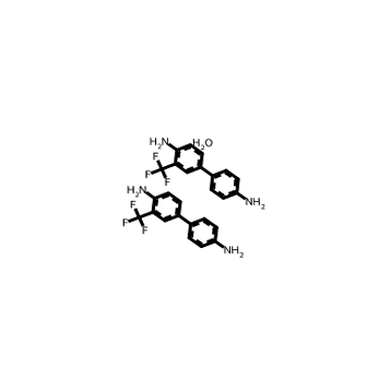 Nc1ccc(-c2ccc(N)c(C(F)(F)F)c2)cc1.Nc1ccc(-c2ccc(N)c(C(F)(F)F)c2)cc1.O